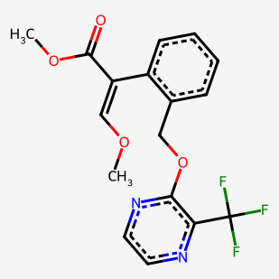 CO/C=C(/C(=O)OC)c1ccccc1COc1nccnc1C(F)(F)F